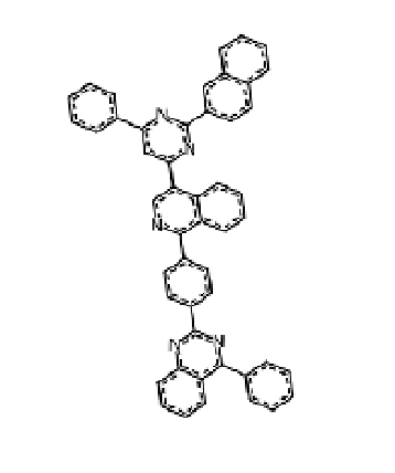 c1ccc(-c2cc(-c3cnc(-c4ccc(-c5nc(-c6ccccc6)c6ccccc6n5)cc4)c4ccccc34)nc(-c3ccc4ccccc4c3)n2)cc1